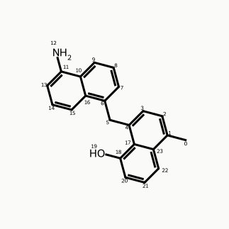 Cc1ccc(Cc2cccc3c(N)cccc23)c2c(O)cccc12